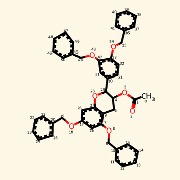 CC(=O)OC1Cc2c(OCc3ccccc3)cc(OCc3ccccc3)cc2OC1c1ccc(OCc2ccccc2)c(OCc2ccccc2)c1